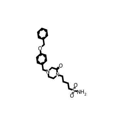 NS(=O)(=O)CCCCN1CCN(Cc2ccc(OCc3ccccc3)cc2)CC1=O